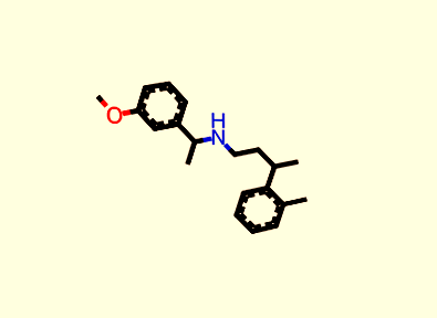 COc1cccc(C(C)NCCC(C)c2ccccc2C)c1